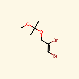 COC(C)(C)OCC(Br)=CBr